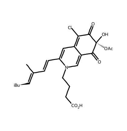 CC[C@H](C)/C=C(C)/C=C/C1=CC2=C(Cl)C(=O)[C@](O)(OC(C)=O)C(=O)C2=CN1CCCC(=O)O